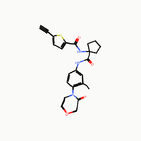 C#Cc1ccc(C(=O)NC2(C(=O)Nc3ccc(N4CCOCC4=O)c(C)c3)CCCC2)s1